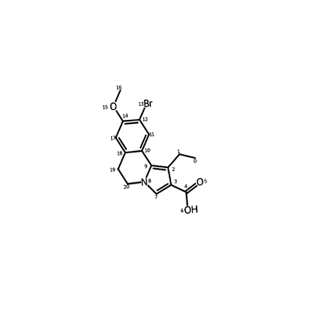 CCc1c(C(=O)O)cn2c1-c1cc(Br)c(OC)cc1CC2